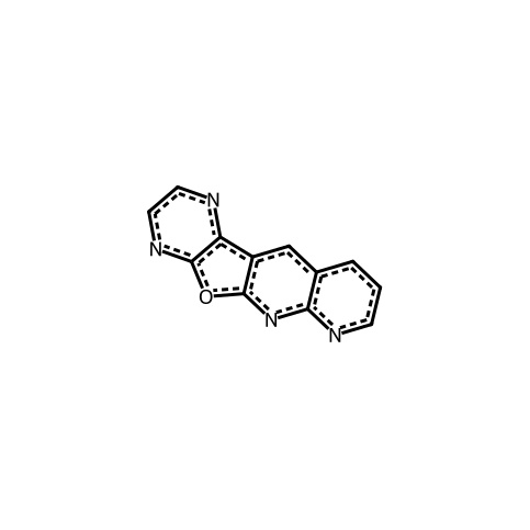 c1cnc2nc3oc4nccnc4c3cc2c1